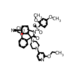 CCOc1cc(N2CCN(C3(c4ccccc4OCC)C(=O)N(S(=O)(=O)c4ccc(OC)cc4OC)c4ccc(C#N)cc43)CC2)ccn1